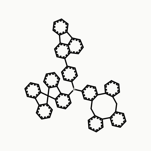 c1ccc2c(c1)Cc1ccccc1-c1ccc(N(c3ccc(-c4ccc5c6c(cccc46)-c4ccccc4-5)cc3)c3cccc4c3-c3ccccc3C43c4ccccc4-c4ccccc43)cc1Cc1ccccc1-2